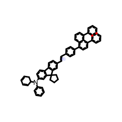 C1=CCC(N(c2ccccc2)c2ccc3c(c2)C2(CCCC2)c2cc(/C=C/c4ccc(-c5ccc(-c6ccccc6)c6c(-c7ccccc7)cccc56)cc4)ccc2-3)C=C1